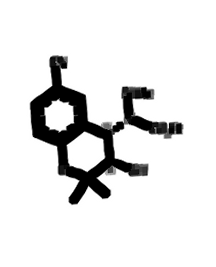 CCOC(=O)N(NC(C)=O)[C@H]1c2cc(C#N)ccc2OC(C)(C)[C@@H]1O